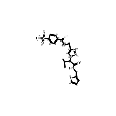 CC(C)C(C(=O)NCc1ccco1)n1cc(CNC(=O)c2ccc(S(N)(=O)=O)cc2)nn1